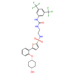 O=C(NCCNS(=O)(=O)c1ccc(-c2ccccc2O[C@H]2CC[C@@H](O)CC2)s1)Nc1cc(C(F)(F)F)cc(C(F)(F)F)c1